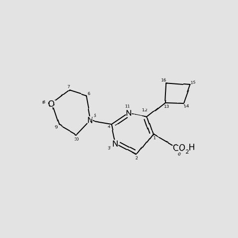 O=C(O)c1cnc(N2CCOCC2)nc1C1CCC1